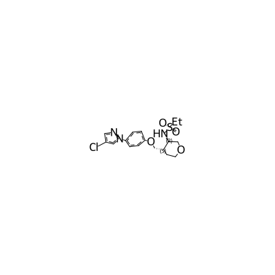 CCS(=O)(=O)N[C@H]1COCC[C@@H]1COc1ccc(-n2cc(Cl)cn2)cc1